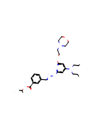 CCCN(CCC)c1cc(N/N=C/c2cccc(C(=O)OC(C)C)c2)nc(OCCN2CCOCC2)c1